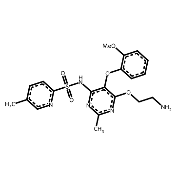 COc1ccccc1Oc1c(NS(=O)(=O)c2ccc(C)cn2)nc(C)nc1OCCN